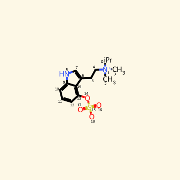 CC(C)[N+](C)(C)CCc1c[nH]c2cccc(OS(=O)(=O)[O-])c12